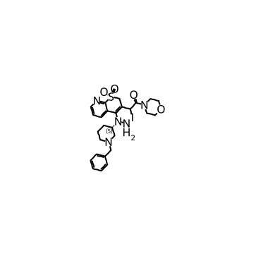 NN(C1=C(C(I)C(=O)N2CCOCC2)CS(=O)(=O)c2ncccc21)[C@H]1CCCN(Cc2ccccc2)C1